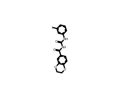 O=C(NC(=O)c1ccc2c(c1)OCCO2)Nc1cccc(I)c1